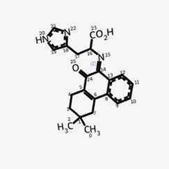 CC1(C)CCC2=C(C1)c1ccccc1/C(=N/C(Cc1c[nH]cn1)C(=O)O)C2=O